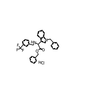 Cl.O=C(OCc1ccccc1)C(NCc1cccc(C(F)(F)F)c1)c1cn(Cc2ccccc2)c2ccccc12